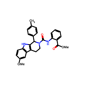 COC(=O)c1ccccc1NC(=O)N1CCc2c([nH]c3ccc(OC)cc23)C1c1ccc(C)cc1